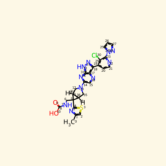 Cc1csc(C2(CNC(=O)O)[C@@H]3CN(c4cnc5c(-c6ccnc(-n7cccn7)c6Cl)n[nH]c5n4)C[C@@H]32)n1